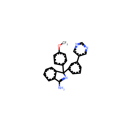 NC1=NC(c2ccc(OC(F)(F)F)cc2)(c2cccc(-c3cncnc3)c2)c2ccccc21